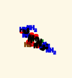 Nc1cc2c(ncn2[C@@H]2OC3OCC[C@H]4[C@H](F)[C@H](n5ccc6c(N)ncnc65)O[C@@H]4COP(=O)(S)O[C@@H]2[C@@H]3F)c(=O)[nH]1